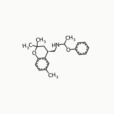 Cc1ccc2c(c1)[C@H](CNC(C)Oc1ccccc1)CC(C)(C)O2